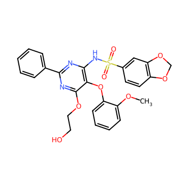 COc1ccccc1Oc1c(NS(=O)(=O)c2ccc3c(c2)OCO3)nc(-c2ccccc2)nc1OCCO